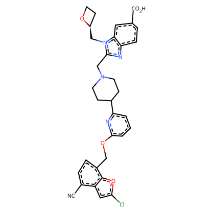 N#Cc1ccc(COc2cccc(C3CCN(Cc4nc5ccc(C(=O)O)cc5n4C[C@@H]4CCO4)CC3)n2)c2oc(Cl)cc12